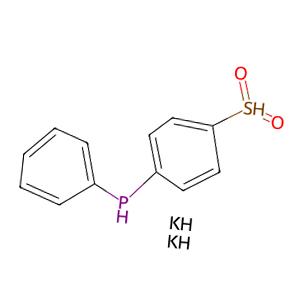 O=[SH](=O)c1ccc(Pc2ccccc2)cc1.[KH].[KH]